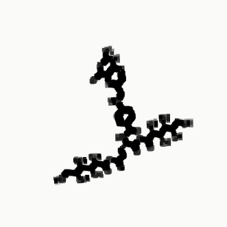 Nc1nc(=O)c2nc(CNc3ccc(C(=O)N[C@@H](CCC(=O)OC(=O)[C@H](O)[C@@H](O)[C@H](O)[C@H](O)CO)C(=O)OC(=O)[C@H](O)[C@@H](O)[C@H](O)[C@H](O)CO)cc3)cnc2[nH]1